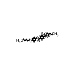 CCCCCCOc1ccc(OC(=O)c2ccc(C3OCC(CCC)CO3)c(F)c2)cc1